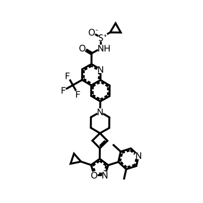 Cc1cncc(C)c1-c1noc(C2CC2)c1C1=CC2(CCN(c3ccc4nc(C(=O)N[S+]([O-])C5CC5)cc(C(F)(F)F)c4c3)CC2)C1